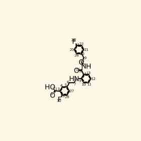 O=C(O)c1cc(CCNc2ccccc2C(=O)NOCc2ccc(F)cc2)ccc1F